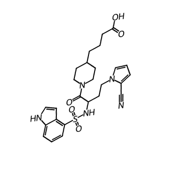 N#Cc1cccn1CCC(NS(=O)(=O)c1cccc2[nH]ccc12)C(=O)N1CCC(CCCC(=O)O)CC1